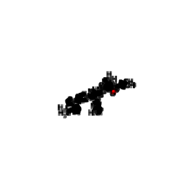 CC(C)c1ccccc1[C@@H]1CCCN1C1CC2(CCN(c3cc(Oc4cnc5[nH]ccc5c4)c(C(=O)NS(=O)(=O)c4cc([N+](=O)[O-])c(NCC5CC(C)(O)C5)c5[nH]cnc45)cn3)CC2)C1